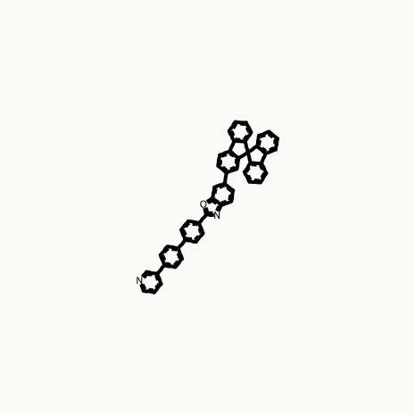 c1cncc(-c2ccc(-c3ccc(-c4nc5ccc(-c6ccc7c(c6)C6(c8ccccc8-c8ccccc86)c6ccccc6-7)cc5o4)cc3)cc2)c1